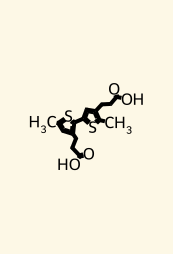 Cc1cc(CCC(=O)O)c(-c2cc(CCC(=O)O)c(C)s2)s1